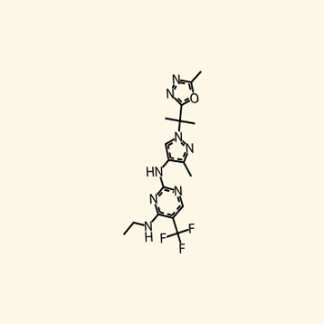 CCNc1nc(Nc2cn(C(C)(C)c3nnc(C)o3)nc2C)ncc1C(F)(F)F